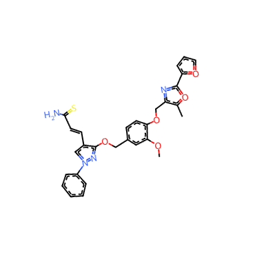 COc1cc(COc2nn(-c3ccccc3)cc2/C=C/C(N)=S)ccc1OCc1nc(-c2ccco2)oc1C